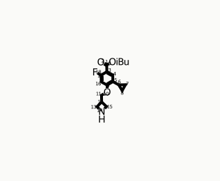 CC(C)COC(=O)c1cc(C2CC2)c(OCC2CNC2)cc1F